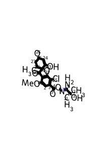 COc1cc(C(=O)O/N=C(\N)C(C)(C)O)c(Cl)c2c1C(=O)[C@@]1(O2)C(O)=CC(=O)C[C@H]1C